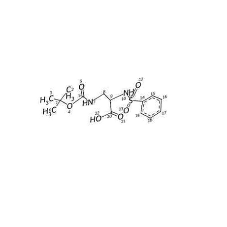 CC(C)(C)OC(=O)NCC(NS(=O)(=O)c1ccccc1)C(=O)O